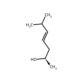 CC(C)/C=C/C[C@@H](C)O